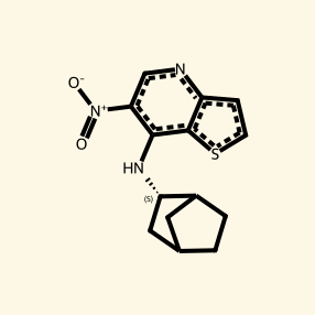 O=[N+]([O-])c1cnc2ccsc2c1N[C@H]1CC2CCC1C2